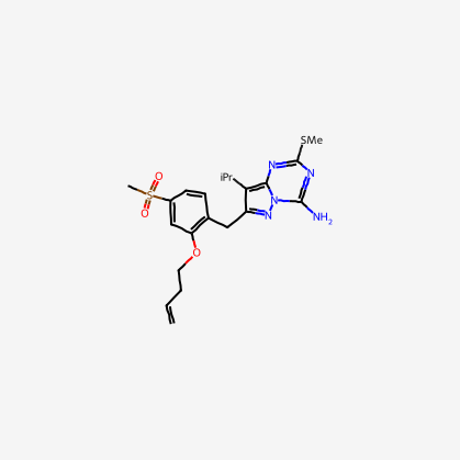 C=CCCOc1cc(S(C)(=O)=O)ccc1Cc1nn2c(N)nc(SC)nc2c1C(C)C